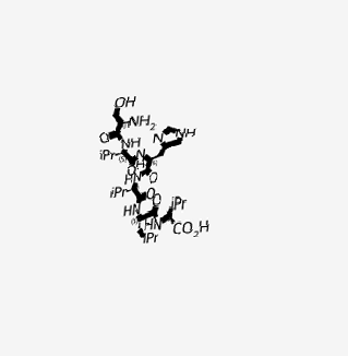 CC(C)C[C@H](NC(=O)[C@@H](NC(=O)[C@H](Cc1c[nH]cn1)NC(=O)[C@@H](NC(=O)[C@@H](N)CO)C(C)C)C(C)C)C(=O)N[C@H](C(=O)O)C(C)C